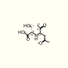 CC(=O)CC(N[C@@H](CO)C(=O)O)C(C)=O